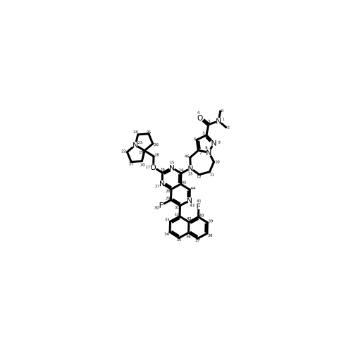 CN(C)C(=O)c1cc2n(n1)CCCN(c1nc(OCC34CCCN3CCC4)nc3c(F)c(-c4cccc5cccc(F)c45)ncc13)C2